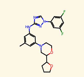 Cc1cc(Nc2ncn(-c3cc(F)cc(F)c3)n2)cc(N2CCOC(C3CCCO3)C2)c1